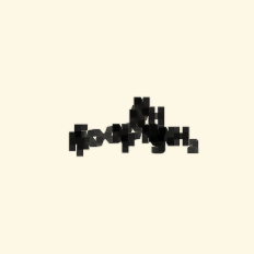 CN1CCN(c2cc(N3CCC(c4ccc(C(F)(F)F)cc4)CC3)c(F)cc2C=NNC(N)=S)CC1